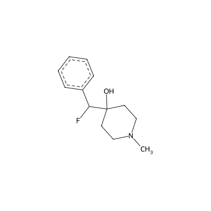 CN1CCC(O)(C(F)c2ccccc2)CC1